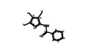 Cc1sc(NC(=O)c2ccccc2)c(C)c1C